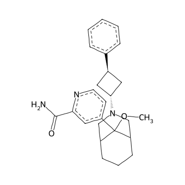 COC1(c2ccnc(C(N)=O)c2)C2CCCC1CN([C@H]1C[C@H](c3ccccc3)C1)C2